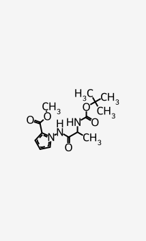 COC(=O)c1cccn1NC(=O)C(C)NC(=O)OC(C)(C)C